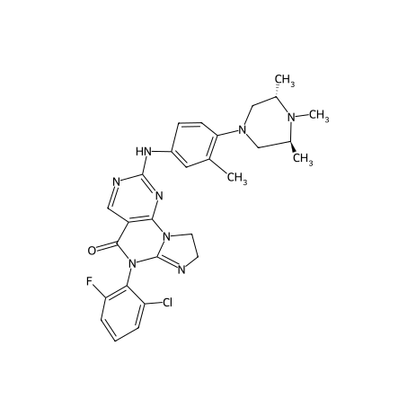 Cc1cc(Nc2ncc3c(n2)N2CCN=C2N(c2c(F)cccc2Cl)C3=O)ccc1N1C[C@H](C)N(C)[C@@H](C)C1